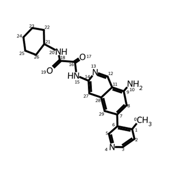 Cc1ccncc1-c1cc(N)c2cnc(NC(=O)C(=O)NC3CCCCC3)cc2c1